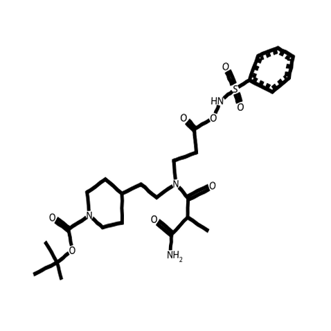 CC(C(N)=O)C(=O)N(CCC(=O)ONS(=O)(=O)c1ccccc1)CCC1CCN(C(=O)OC(C)(C)C)CC1